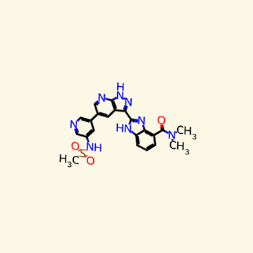 CN(C)C(=O)c1cccc2[nH]c(-c3n[nH]c4ncc(-c5cncc(NS(C)(=O)=O)c5)cc34)nc12